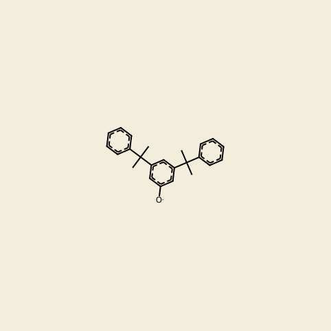 CC(C)(c1ccccc1)c1cc([O])cc(C(C)(C)c2ccccc2)c1